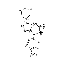 COc1ccc(C2=c3ncn(C4CCCCO4)c3=NC(Cl)N2)cc1